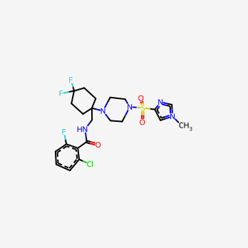 Cn1cnc(S(=O)(=O)N2CCN(C3(CNC(=O)c4c(F)cccc4Cl)CCC(F)(F)CC3)CC2)c1